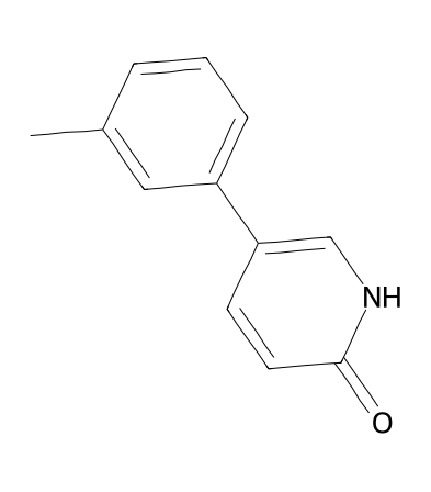 Cc1cccc(-c2ccc(=O)[nH]c2)c1